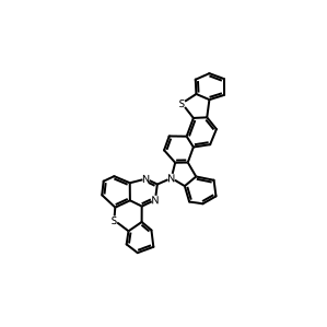 c1ccc2c(c1)Sc1cccc3nc(-n4c5ccccc5c5c6ccc7c8ccccc8sc7c6ccc54)nc-2c13